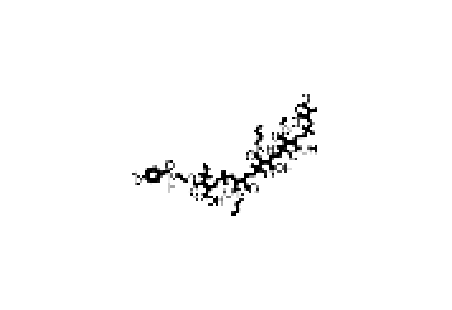 CCCCNC(=O)C(C(CCC(C)(C)C(C(=O)OCC)C(CCC(C)(C)CC1C(=O)OC(=O)C1C)C(=O)O)C(=O)O)C(C)(C)CCC1C(=O)N(CCCC)C(=O)C1CC(C)(C)CCC(C(=O)O)C(C(=O)OCCNC(=O)c1ccc(N(C)C)cc1)C(C)(C)CC